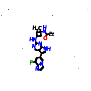 CCC(=O)N[C@]1(C)C[C@@H](Nc2ncc3c(-c4cc(F)c5nccn5c4)c[nH]c3n2)C1